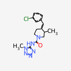 CC1CN(C(=O)Nc2nnnn2C)CC/C1=C\c1cccc(Cl)c1